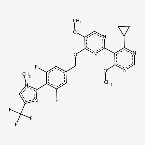 COc1cnc(-c2c(OC)ncnc2C2CC2)nc1OCc1cc(F)c(-c2nc(C(F)(F)F)cn2C)c(F)c1